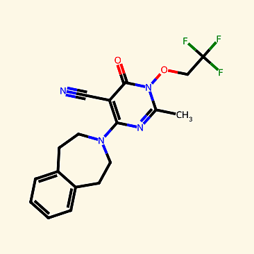 Cc1nc(N2CCc3ccccc3CC2)c(C#N)c(=O)n1OCC(F)(F)F